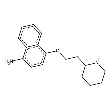 Nc1ccc(OCCC2CCCCN2)c2ccccc12